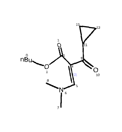 CCCCOC(=O)/C(=C\N(C)C)C(=O)C1CC1